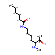 CCNC(CCCCNC(=O)CCCCC(C)C)C(=O)C(C)C